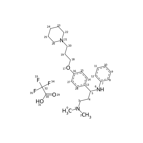 CN(C)CCC(Nc1ccccc1)c1ccc(OCCCN2CCCCC2)cc1.O=C(O)C(F)(F)F